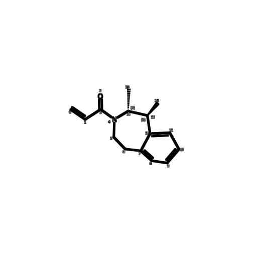 C=CC(=O)N1CCc2ccccc2[C@H](C)[C@H]1C